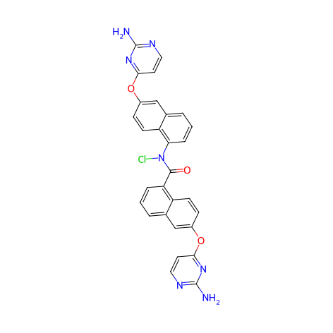 Nc1nccc(Oc2ccc3c(C(=O)N(Cl)c4cccc5cc(Oc6ccnc(N)n6)ccc45)cccc3c2)n1